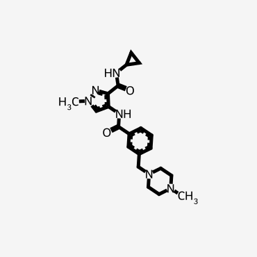 CN1CCN(Cc2cccc(C(=O)Nc3cn(C)nc3C(=O)NC3CC3)c2)CC1